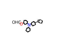 O=COc1cccc(N(c2ccccc2)c2ccc(C3CC4C=CC3C4)cc2)c1